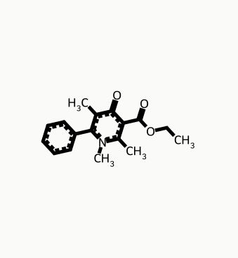 CCOC(=O)c1c(C)n(C)c(-c2ccccc2)c(C)c1=O